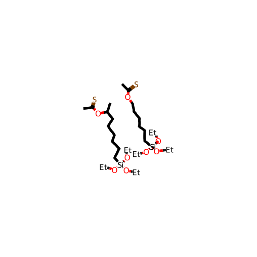 CCO[Si](CCCCCCC(C)OC(C)=S)(OCC)OCC.CCO[Si](CCCCCCOC(C)=S)(OCC)OCC